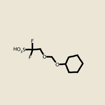 O=S(=O)(O)C(F)(F)COCOC1CCCCC1